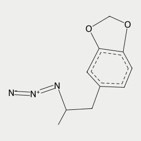 CC(Cc1ccc2c(c1)OCO2)N=[N+]=[N-]